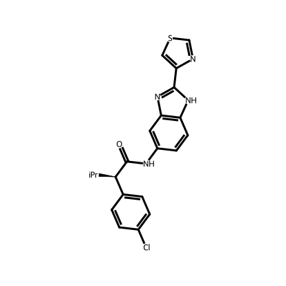 CC(C)[C@@H](C(=O)Nc1ccc2[nH]c(-c3cscn3)nc2c1)c1ccc(Cl)cc1